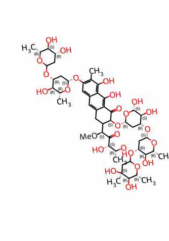 CO[C@H](C(=O)[C@@H](O)[C@@H](C)O)C1Cc2cc3cc(O[C@H]4C[C@@H](OC5C[C@@H](O)[C@H](O)[C@@H](C)O5)[C@H](O)[C@@H](C)O4)c(C)c(O)c3c(O)c2C(=O)[C@H]1O[C@H]1C[C@@H](O[C@H]2C[C@@H](OC3C[C@](C)(O)[C@H](O)[C@@H](C)O3)[C@H](O)[C@@H](C)O2)[C@H](O)[C@@H](O)O1